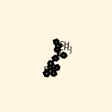 CC1(C)c2ccccc2-c2ccc(N(c3ccccc3)c3ccc(-c4ccc5c(c4)C(c4ccccc4)(c4ccccc4)c4c-5sc5ccccc45)cc3)cc21